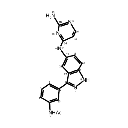 CC(=O)Nc1cccc(-c2n[nH]c3ccc(Nc4ccnc(N)n4)cc23)c1